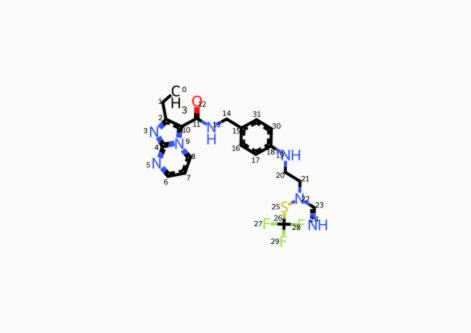 CCc1nc2ncccn2c1C(=O)NCc1ccc(NCCN(C=N)SC(F)(F)F)cc1